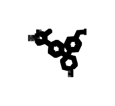 Cc1n[nH]cc1-c1ccc(C2(c3ccc(CI)cc3)CCNCC2)cc1